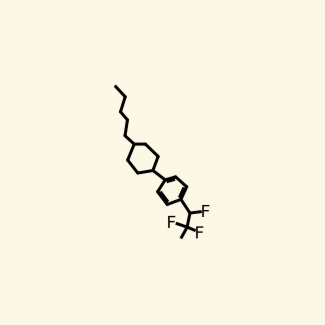 CCCCCC1CCC(c2ccc(C(F)C(C)(F)F)cc2)CC1